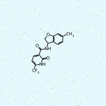 Cc1ccc2c(c1)OCC2NC(=O)c1ccc(C(F)(F)F)[nH]c1=O